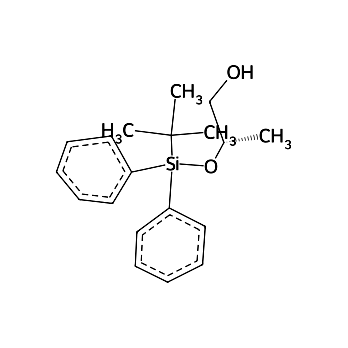 C[C@@H](CO)O[Si](c1ccccc1)(c1ccccc1)C(C)(C)C